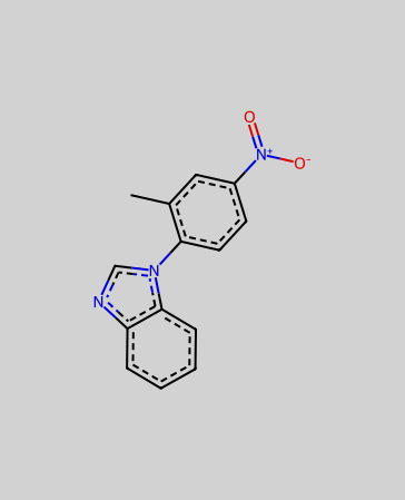 Cc1cc([N+](=O)[O-])ccc1-n1cnc2ccccc21